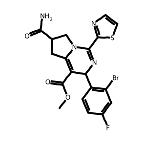 COC(=O)C1=C2CC(C(N)=O)CN2C(c2nccs2)=NC1c1ccc(F)cc1Br